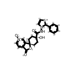 O=C1O[C@]2(CC[C@](O)(C(=O)NN3C=CSC3c3ccccc3)CC2)c2c[n+]([O-])ccc21